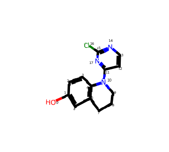 Oc1ccc2c(c1)CCCN2c1ccnc(Cl)n1